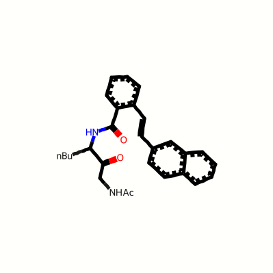 CCCCC(NC(=O)c1ccccc1C=Cc1ccc2ccccc2c1)C(=O)CNC(C)=O